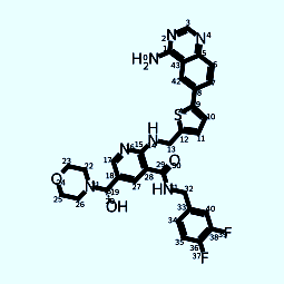 Nc1ncnc2ccc(-c3ccc(CNc4ncc([C@H](O)N5CCOCC5)cc4C(=O)NCc4ccc(F)c(F)c4)s3)cc12